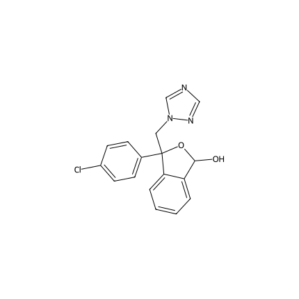 OC1OC(Cn2cncn2)(c2ccc(Cl)cc2)c2ccccc21